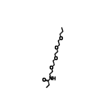 CCCOCCOCCOCCOCCNC(=O)CC